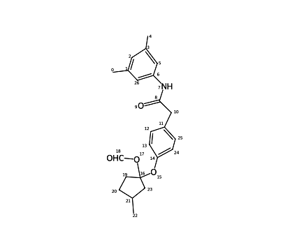 Cc1cc(C)cc(NC(=O)Cc2ccc(OC3(OC=O)CCC(C)C3)cc2)c1